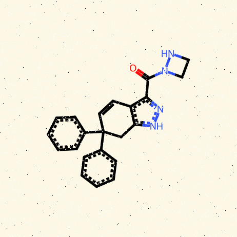 O=C(c1n[nH]c2c1C=CC(c1ccccc1)(c1ccccc1)C2)N1CCN1